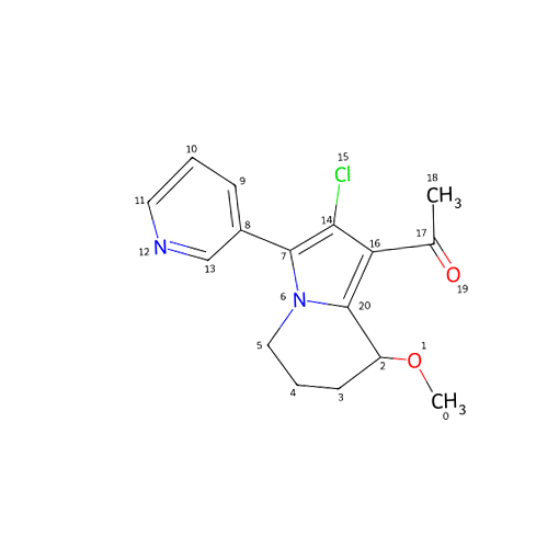 COC1CCCn2c(-c3cccnc3)c(Cl)c(C(C)=O)c21